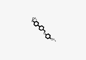 C=NC1CCC(C2CCC(COC3CCC(C)CC3)CC2)CC1